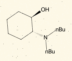 CCCCN(CCCC)[C@@H]1CCCC[C@H]1O